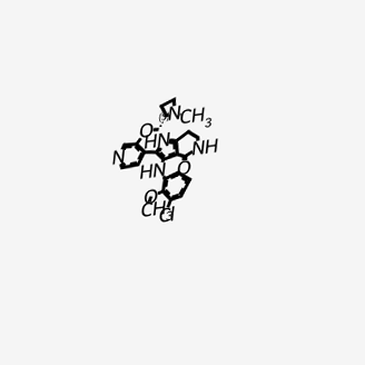 COc1c(Cl)cccc1Nc1c(-c2ccncc2OC[C@@H]2CCN2C)[nH]c2c1C(=O)NCC2